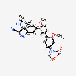 COc1cc(N2CCOCC2=O)ccc1-c1ccc(OC)c(-c2ccc3c(NC(C)C4CC4)c(C#N)nnc3c2)c1